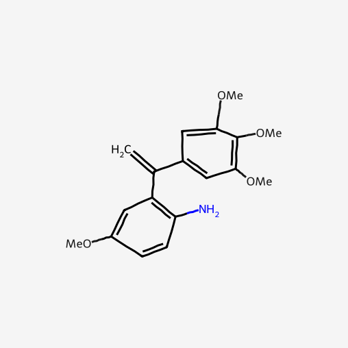 C=C(c1cc(OC)c(OC)c(OC)c1)c1cc(OC)ccc1N